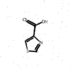 O=C(O)c1cs[c]n1